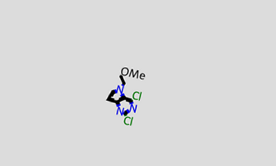 COCCn1ccc2nc(Cl)nc(Cl)c21